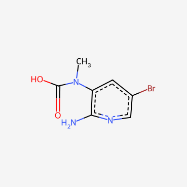 CN(C(=O)O)c1cc(Br)cnc1N